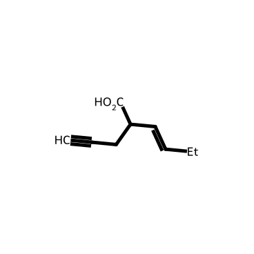 C#CCC(C=CCC)C(=O)O